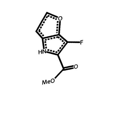 COC(=O)c1[nH]c2ccoc2c1F